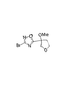 COC1(c2nc(Br)no2)CCOC1